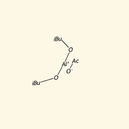 CC(=O)[O-].CCC(C)[O][Al+][O]C(C)CC